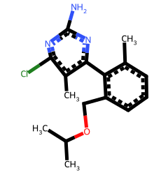 Cc1cccc(COC(C)C)c1-c1nc(N)nc(Cl)c1C